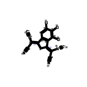 [C-]#[N+]/C(C#N)=C1/C/C(=C(\C#N)[N+]#[C-])c2c1cc(Cl)c(Cl)c2Cl